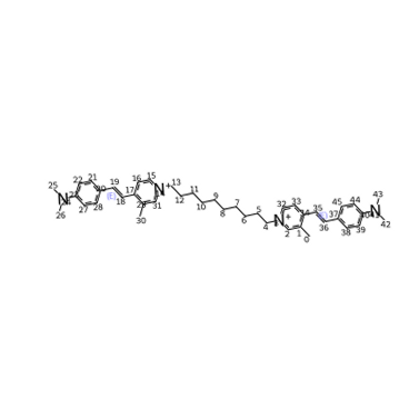 Cc1c[n+](CCCCCCCCCC[n+]2ccc(/C=C/c3ccc(N(C)C)cc3)c(C)c2)ccc1/C=C/c1ccc(N(C)C)cc1